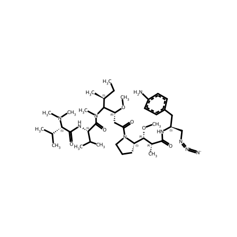 CC[C@H](C)C([C@@H](CC(=O)N1CCC[C@H]1[C@H](OC)[C@@H](C)C(=O)N[C@H](CN=[N+]=[N-])Cc1ccc(N)cc1)OC)N(C)C(=O)[C@@H](NC(=O)[C@H](C(C)C)N(C)C)C(C)C